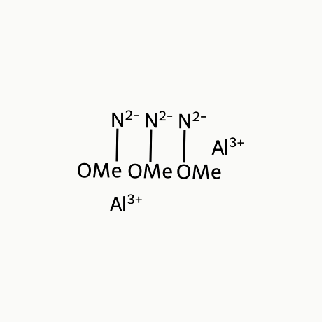 CO[N-2].CO[N-2].CO[N-2].[Al+3].[Al+3]